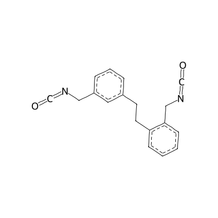 O=C=NCc1cccc(CCc2ccccc2CN=C=O)c1